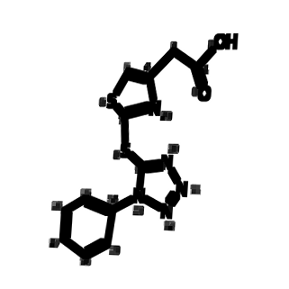 O=C(O)Cc1csc(Sc2nnnn2-c2ccccc2)n1